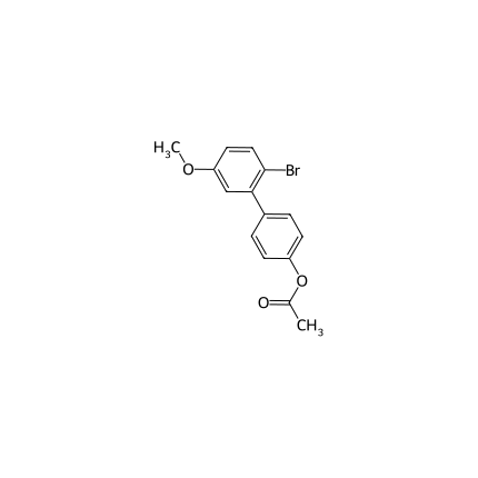 COc1ccc(Br)c(-c2ccc(OC(C)=O)cc2)c1